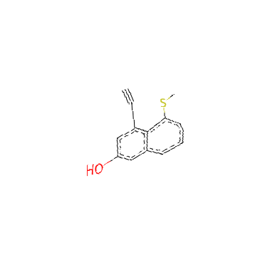 C#Cc1cc(O)cc2cccc(SC)c12